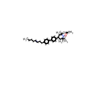 C=CCC/C=C/CCc1ccc(-c2ccc(C3CC(C)(C)N(OC=C)C(C)(C)C3)cc2)cc1